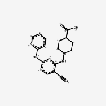 N#Cc1cnc(Nc2ccccn2)nc1NC1CCC(C(=O)O)CC1